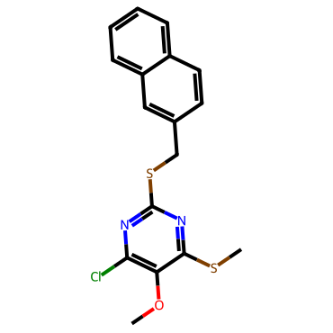 COc1c(Cl)nc(SCc2ccc3ccccc3c2)nc1SC